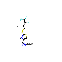 CO/N=C\c1csc(SCCC(F)=C(F)F)n1